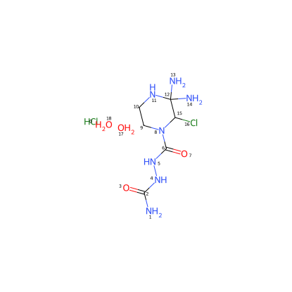 Cl.NC(=O)NNC(=O)N1CCNC(N)(N)C1Cl.O.O